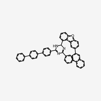 c1ccc(C2=NC(c3cccc4oc5ccc(-c6ccc7ccccc7c6)cc5c34)NC(c3ccc(-c4ccc(-c5ccccc5)cc4)cc3)=N2)cc1